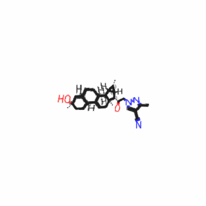 Cc1nn(CC(=O)[C@H]2[C@H]3[C@@H](C)[C@H]3[C@H]3[C@@H]4CC[C@@H]5C[C@](C)(O)CC[C@@H]5C4CC[C@@]32C)cc1C#N